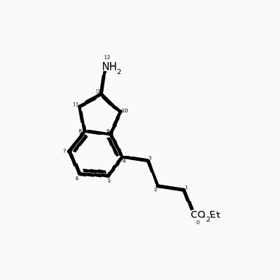 CCOC(=O)CCCc1cccc2c1CC(N)C2